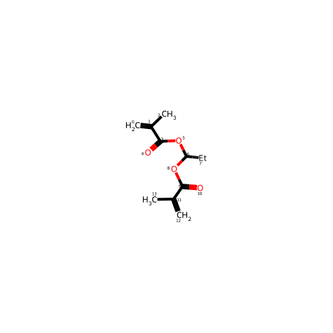 C=C(C)C(=O)O[C](CC)OC(=O)C(=C)C